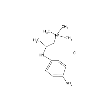 CC(C[N+](C)(C)C)Nc1ccc(N)cc1.[Cl-]